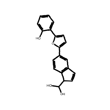 Oc1ccccc1-c1ccc(-c2ccc3c(c2)C=CC3C(O)O)o1